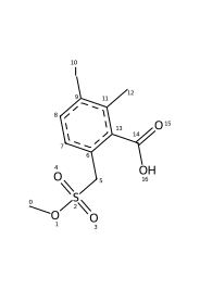 COS(=O)(=O)Cc1ccc(I)c(C)c1C(=O)O